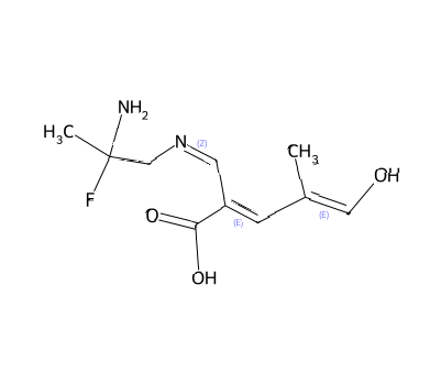 CC(=C\O)/C=C(\C=N/CC(C)(N)F)C(=O)O